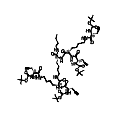 C#CC[C@H](NC(=O)OC(C)(C)C)C(=O)N[C@@H](CCCCNC(=O)[C@@H](CC#C)NC(=O)OC(C)(C)C)C(=O)NCCCC[C@@H](NC(=O)[C@H](CCCCNC(=O)[C@@H](CC#C)NC(=O)OC(C)(C)C)NC(=O)[C@H](CC#C)NC(=O)OC(C)(C)C)C(=O)NCCCC